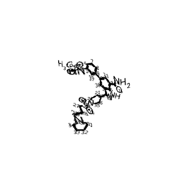 CS(=O)(=O)Nc1cccc(-c2cc(C(N)=O)c3[nH]nc(C4CCN(S(=O)(=O)CCCN5CCCC5)CC4)c3c2)c1